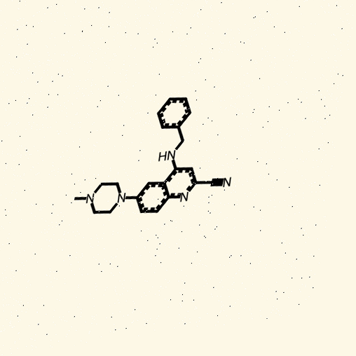 CN1CCN(c2ccc3nc(C#N)cc(NCc4ccccc4)c3c2)CC1